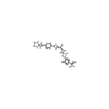 O=C(N1CC(c2ccc(N3CC4(CCCC4)C3)nc2)C1)N1CC2(CC(c3nc(C4(O)CC4)n[nH]3)C2)C1